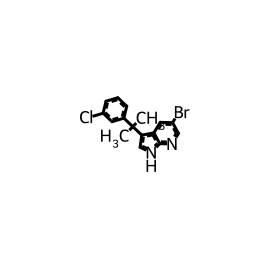 CC(C)(c1cccc(Cl)c1)c1c[nH]c2ncc(Br)cc12